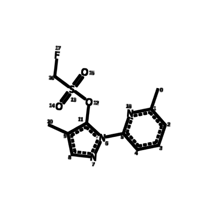 Cc1cccc(-n2ncc(C)c2OS(=O)(=O)CF)n1